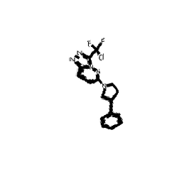 FC(F)(Cl)c1nnc2ccc(N3CCC(c4ccccc4)C3)nn12